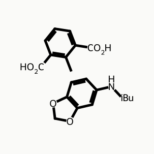 CCC(C)Nc1ccc2c(c1)OCO2.Cc1c(C(=O)O)cccc1C(=O)O